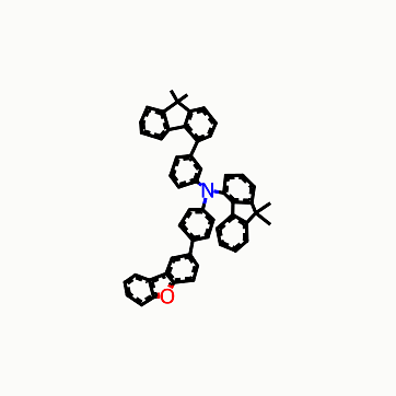 CC1(C)c2ccccc2-c2c(-c3cccc(N(c4ccc(-c5ccc6oc7ccccc7c6c5)cc4)c4cccc5c4-c4ccccc4C5(C)C)c3)cccc21